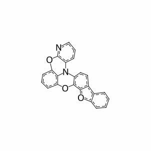 c1cc2c3c(c1)Oc1c(ccc4c1oc1ccccc14)N3c1cccnc1O2